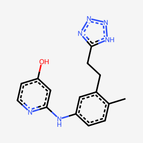 Cc1ccc(Nc2cc(O)ccn2)cc1CCc1nnn[nH]1